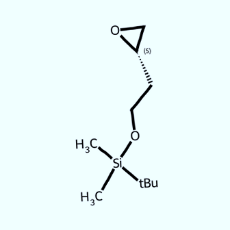 CC(C)(C)[Si](C)(C)OCC[C@H]1CO1